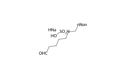 CCCCCCCCCCCCCCCC=O.O=S(=O)(O)O.[NaH]